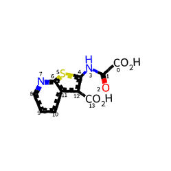 O=C(O)C(=O)Nc1sc2ncccc2c1C(=O)O